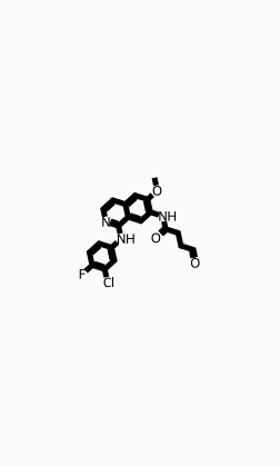 COc1cc2ccnc(Nc3ccc(F)c(Cl)c3)c2cc1NC(=O)CCC=O